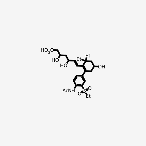 CCC1(CC)CC(O)CC(c2ccc(NC(C)=O)c(S(=O)(=O)CC)c2)=C1C=CC(O)CC(O)CC(=O)O